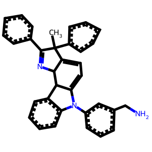 CC1(c2ccccc2)C2=CC=C3C(c4ccccc4N3c3cccc(CN)c3)C2N=C1c1ccccc1